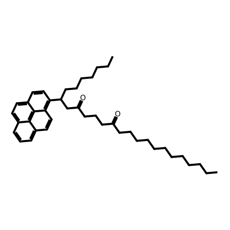 CCCCCCCCCCCCC(=O)CCCC(=O)CC(CCCCCCC)c1ccc2ccc3cccc4ccc1c2c34